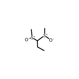 CCC([S+](C)[O-])[S+](C)[O-]